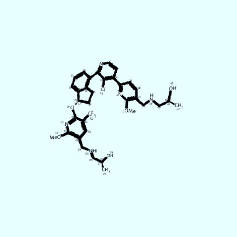 COc1nc(-c2ccnc(-c3cccc4c3CC[C@@H]4Oc3nc(OC)c(CNC[C@H](C)O)cc3C(F)(F)F)c2Cl)ccc1CNC[C@H](C)O